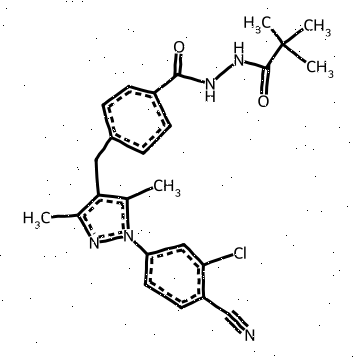 Cc1nn(-c2ccc(C#N)c(Cl)c2)c(C)c1Cc1ccc(C(=O)NNC(=O)C(C)(C)C)cc1